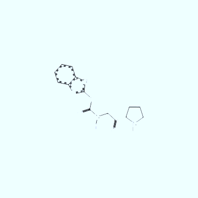 CC(C)N(CC(=O)[C@@H]1CCCN1)C(=O)Sc1nc2ccccc2s1